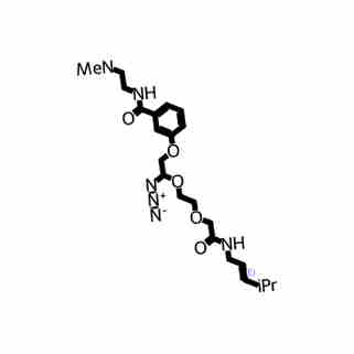 CNCCNC(=O)c1cccc(OCC(N=[N+]=[N-])OCCOCC(=O)NC/C=C/C(C)C)c1